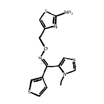 Cn1cncc1/C(=N\OCc1csc(N)n1)c1ccsc1